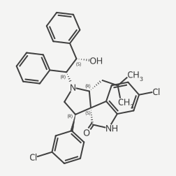 CC(C)C[C@H]1N([C@H](c2ccccc2)[C@@H](O)c2ccccc2)C[C@H](c2cccc(Cl)c2)[C@@]12C(=O)Nc1cc(Cl)ccc12